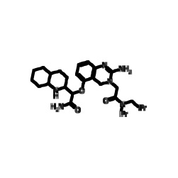 CC(C)CN(C(=O)CN1Cc2c(cccc2OC(C(N)=O)C2CCC3CCCCC3N2)N=C1N)C(C)C